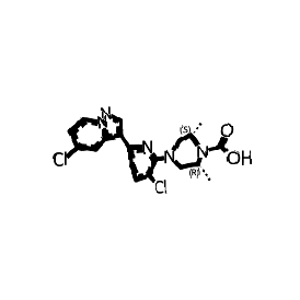 C[C@@H]1CN(c2nc(-c3cnn4ccc(Cl)cc34)ccc2Cl)C[C@H](C)N1C(=O)O